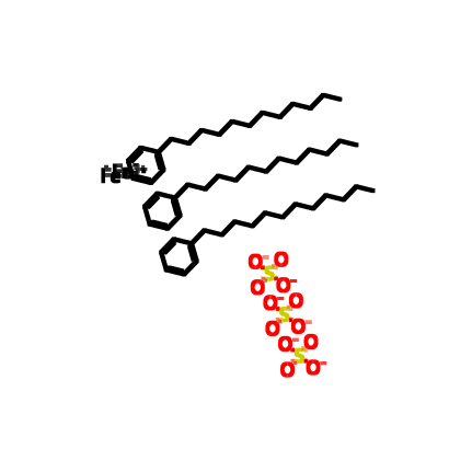 CCCCCCCCCCCCc1ccccc1.CCCCCCCCCCCCc1ccccc1.CCCCCCCCCCCCc1ccccc1.O=S(=O)([O-])[O-].O=S(=O)([O-])[O-].O=S(=O)([O-])[O-].[Fe+3].[Fe+3]